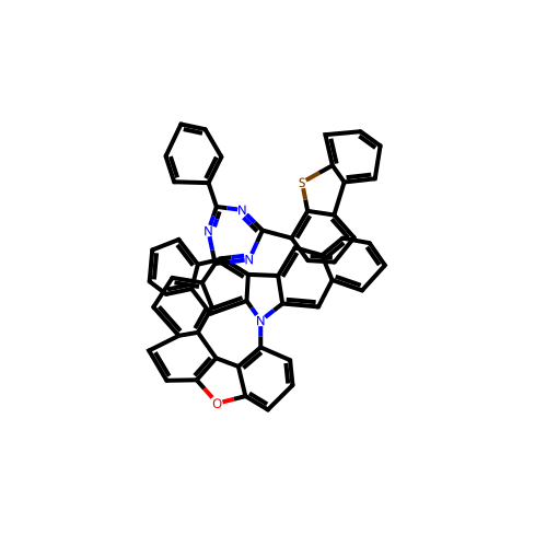 c1ccc(-c2nc(-c3ccc4ccc5oc6cccc(-n7c8cc9ccccc9cc8c8cc9ccccc9cc87)c6c5c4c3)nc(-c3cccc4c3sc3ccccc34)n2)cc1